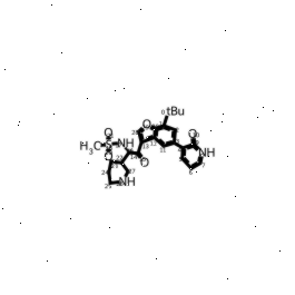 CC(C)(C)c1cc(-c2ccc[nH]c2=O)cc2c(C(=O)[C@H](NS(C)(=O)=O)C3CCCNC3)coc12